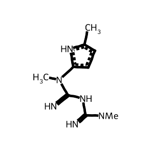 CNC(=N)NC(=N)N(C)c1ccc(C)[nH]1